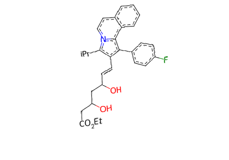 CCOC(=O)CC(O)CC(O)/C=C/c1c(-c2ccc(F)cc2)c2c3ccccc3ccn2c1C(C)C